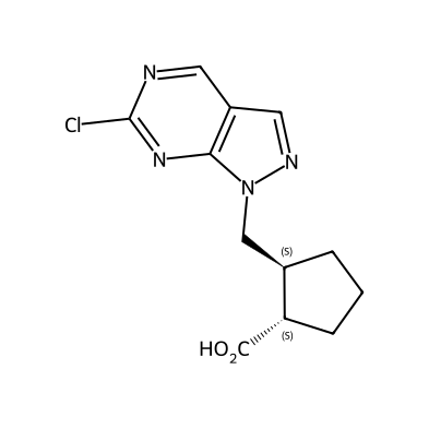 O=C(O)[C@H]1CCC[C@@H]1Cn1ncc2cnc(Cl)nc21